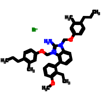 CCCc1ccc(OCn2c(N)[n+](COc3ccc(CCC)c(C)c3)c3c(-c4cccc(OC)c4CC)cccc32)cc1C.[Br-]